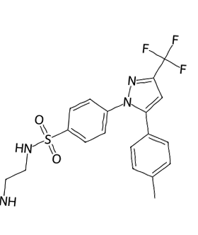 CNCCNS(=O)(=O)c1ccc(-n2nc(C(F)(F)F)cc2-c2ccc(C)cc2)cc1